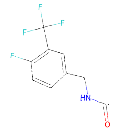 O=[C]NCc1ccc(F)c(C(F)(F)F)c1